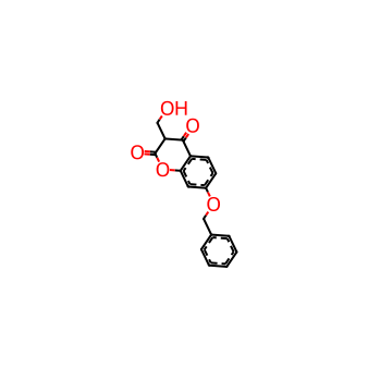 O=C1Oc2cc(OCc3ccccc3)ccc2C(=O)C1CO